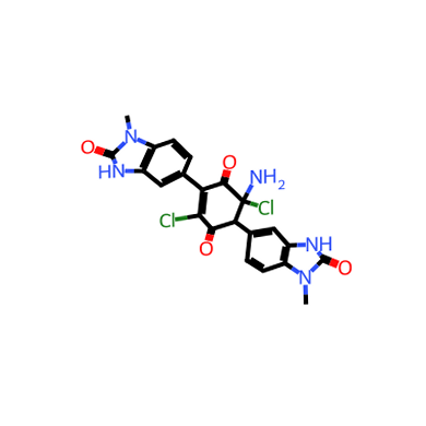 Cn1c(=O)[nH]c2cc(C3=C(Cl)C(=O)C(c4ccc5c(c4)[nH]c(=O)n5C)C(N)(Cl)C3=O)ccc21